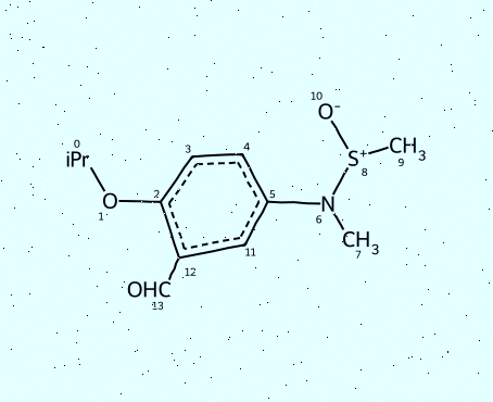 CC(C)Oc1ccc(N(C)[S+](C)[O-])cc1C=O